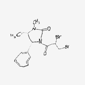 C[C@H]1[C@@H](c2ccccc2)N(C(=O)C(Br)CBr)C(=O)N1C